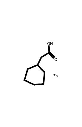 O=C(O)CC1CCCCC1.[Zn]